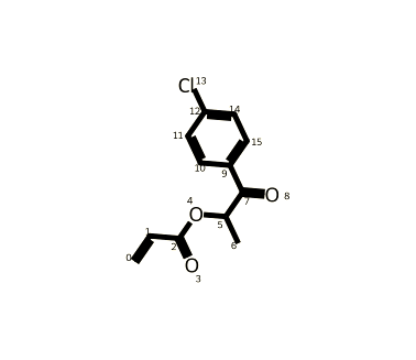 C=CC(=O)OC(C)C(=O)c1ccc(Cl)cc1